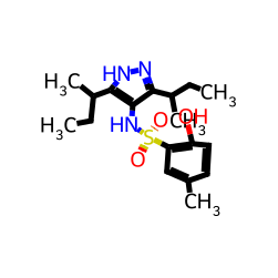 CCC(C)c1n[nH]c(C(C)CC)c1NS(=O)(=O)c1cc(C)ccc1O